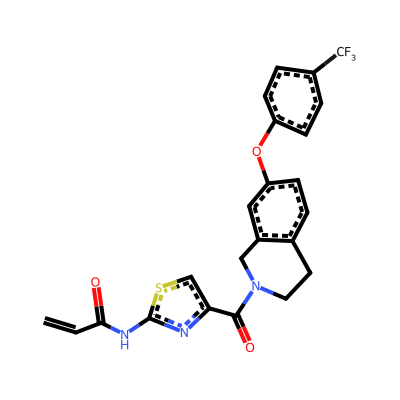 C=CC(=O)Nc1nc(C(=O)N2CCc3ccc(Oc4ccc(C(F)(F)F)cc4)cc3C2)cs1